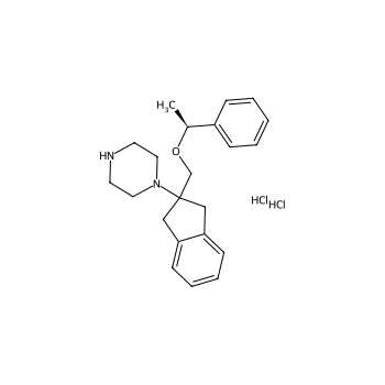 C[C@H](OCC1(N2CCNCC2)Cc2ccccc2C1)c1ccccc1.Cl.Cl